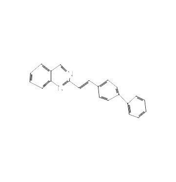 C(=C\c1ncc2ccccc2n1)/c1ccc(-c2ccccc2)cc1